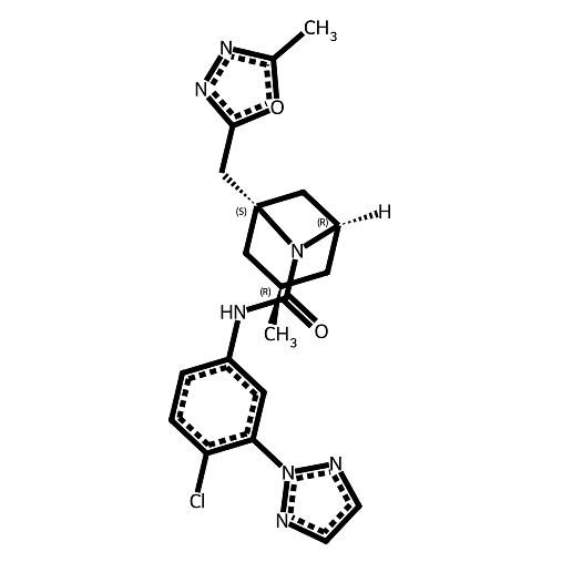 Cc1nnc(C[C@]23C[C@H](C)C[C@H](C2)N3C(=O)Nc2ccc(Cl)c(-n3nccn3)c2)o1